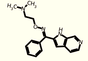 CN(C)CCO/N=C(\c1ccccc1)c1cc2ccncc2[nH]1